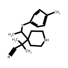 Cc1ccc(SC(C)C2(C(C)(C)C#N)CCNCC2)cc1